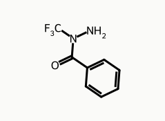 NN(C(=O)c1ccccc1)C(F)(F)F